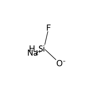 [Na+].[O-][SiH2]F